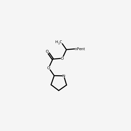 CCCCCC(C)OC(=O)OC1CCC[N]1